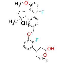 CCC(CC(=O)O)c1cccc(OCc2ccc(-c3cc(OC)ccc3F)c(C3CCCC3(C)C)c2)c1F